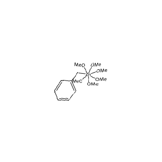 C[O][Zn]([CH2]c1ccccc1)([O]C)([O]C)([O]C)([O]C)[O]C